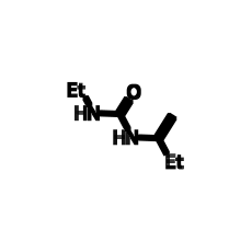 C=C(CC)NC(=O)NCC